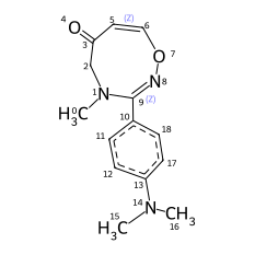 CN1CC(=O)/C=C\O/N=C\1c1ccc(N(C)C)cc1